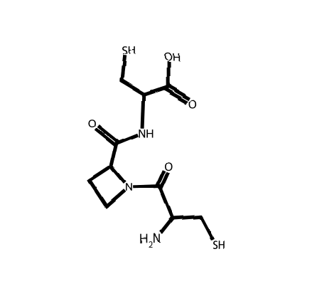 NC(CS)C(=O)N1CCC1C(=O)NC(CS)C(=O)O